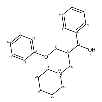 OC(c1ccccc1)C(COc1ccccc1)CN1CCCCC1